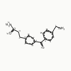 NCc1ccc(C(=O)c2ccc(CCC(N)=O)cc2)cc1